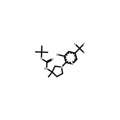 CC1(NC(=O)OC(C)(C)C)CCN(c2ncc(C(F)(F)F)cc2Cl)C1